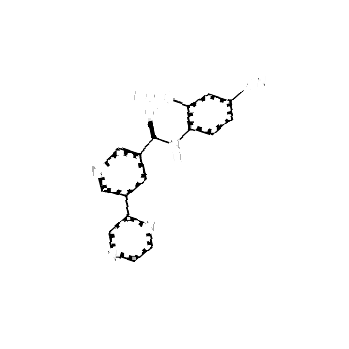 N#Cc1ccc(NC(=O)c2cncc(-c3cnccn3)c2)c(C(=O)O)c1